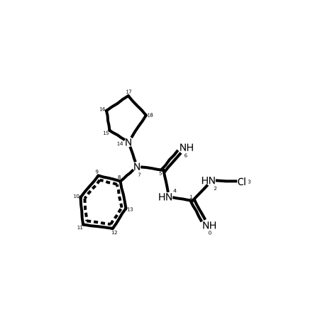 N=C(NCl)NC(=N)N(c1ccccc1)N1CCCC1